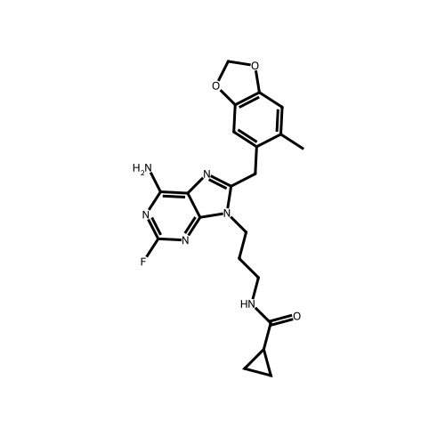 Cc1cc2c(cc1Cc1nc3c(N)nc(F)nc3n1CCCNC(=O)C1CC1)OCO2